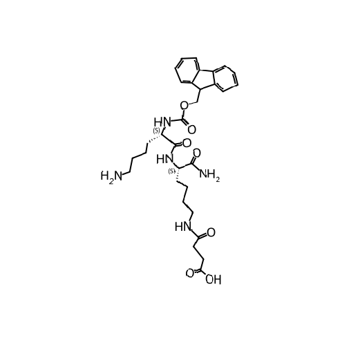 NCCCC[C@H](NC(=O)OCC1c2ccccc2-c2ccccc21)C(=O)N[C@@H](CCCCNC(=O)CCC(=O)O)C(N)=O